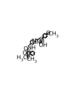 COc1ccc(OCC(CN2CCC(CNC(=O)n3c(=O)n(C(C)C)c4ccccc43)CC2)NC(=O)O)cc1